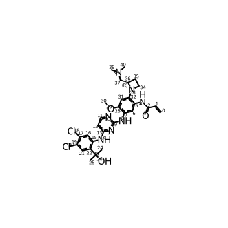 C=CC(=O)Nc1cc(Nc2nccc(Nc3cc(Cl)c(Cl)cc3C(C)(C)O)n2)c(OC)cc1N1CC[C@@H]1CN(C)C